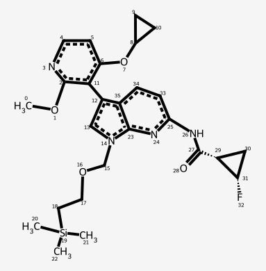 COc1nccc(OC2CC2)c1-c1cn(COCC[Si](C)(C)C)c2nc(NC(=O)[C@@H]3C[C@@H]3F)ccc12